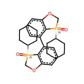 O=[P@]1(C2CCCCC2)COc2cccc(-c3cccc4c3[P@@](=O)(C3CCCCC3)CO4)c21